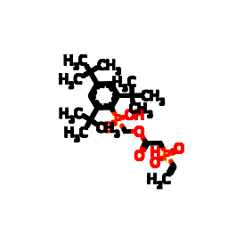 C=CP(=O)(O)CC(=O)OCP(=O)(O)c1c(C(C)(C)C)cc(C(C)(C)C)cc1C(C)(C)C